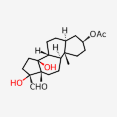 CC(=O)O[C@H]1CC[C@@]2(C)[C@@H](CC[C@@H]3[C@@H]2CC[C@]2(C)[C@@](O)(C=O)CC[C@]32O)C1